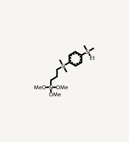 CC[Si](C)(C)c1ccc([Si](C)(C)CCC[Si](OC)(OC)OC)cc1